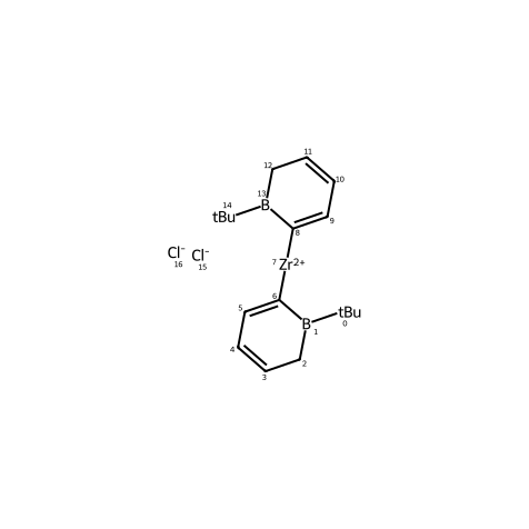 CC(C)(C)B1CC=CC=[C]1[Zr+2][C]1=CC=CCB1C(C)(C)C.[Cl-].[Cl-]